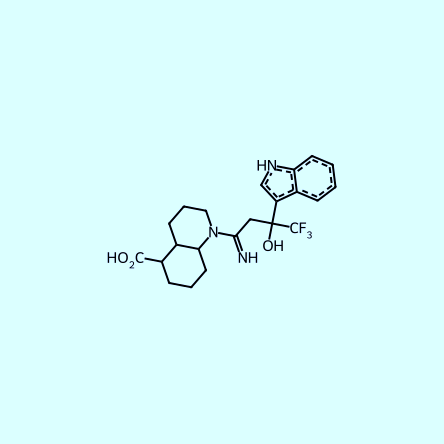 N=C(CC(O)(c1c[nH]c2ccccc12)C(F)(F)F)N1CCCC2C(C(=O)O)CCCC21